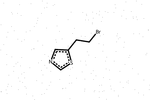 BrCCc1cncs1